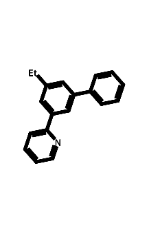 CCc1cc(-c2ccccc2)cc(-c2ccccn2)c1